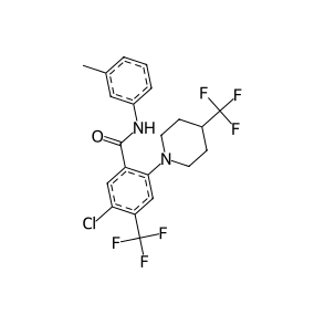 Cc1cccc(NC(=O)c2cc(Cl)c(C(F)(F)F)cc2N2CCC(C(F)(F)F)CC2)c1